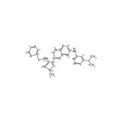 CC(C)c1cnnc(Nc2ccc3ncc(-c4cn(C)nc4NCc4cccnc4)cc3n2)c1